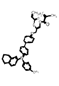 C=CC(=O)OC(COC(=O)C(=C)C)COc1ccc(-c2ccc(N(c3ccc(C)cc3)c3ccc4c(c3)CCCC4)cc2)cc1